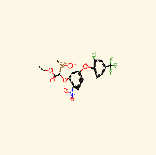 CCOC(=O)C(Oc1cc(Oc2ccc(C(F)(F)F)cc2Cl)ccc1[N+](=O)[O-])[S+](C)[O-]